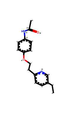 CCc1ccc(CCOc2ccc(NC(C)=O)cc2)nc1